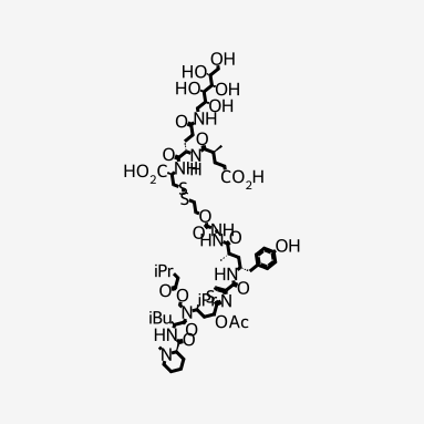 CCC(C)[C@H](NC(=O)[C@H]1CCCCN1C)C(=O)N(COC(=O)CC(C)C)[C@H](C[C@@H](OC(C)=O)c1nc(C(=O)N[C@@H](Cc2ccc(O)cc2)C[C@H](C)C(=O)NNC(=O)OCCSSC[C@H](NC(=O)[C@H](CCC(=O)NC[C@H](O)[C@@H](O)[C@H](O)[C@H](O)CO)NC(=O)[C@@H](C)CCC(=O)O)C(=O)O)cs1)C(C)C